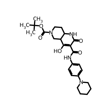 CC(C)(C)OC(=O)N1CCC2NC(=O)C(C(=O)Nc3ccc(N4CCCCC4)cc3)=C(O)C2C1